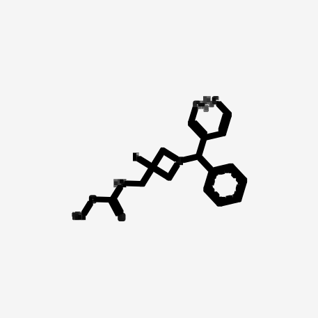 C/C=C\C(=C/C)C(c1ccccc1)N1CC(F)(CNC(=O)OC(C)(C)C)C1